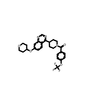 O=C(c1ccc(OC(F)(F)F)cc1)N1CCC(c2ncnc3cc(OC4CCOCC4)ccc23)CC1